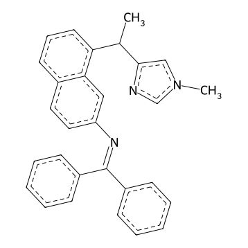 CC(c1cn(C)cn1)c1cccc2ccc(N=C(c3ccccc3)c3ccccc3)cc12